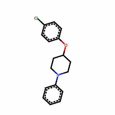 Clc1ccc(OC2CCN(c3[c]cccc3)CC2)cc1